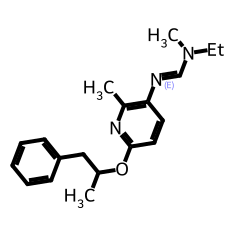 CCN(C)/C=N/c1ccc(OC(C)Cc2ccccc2)nc1C